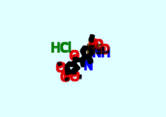 CCOc1ccc2c(C(=O)c3cc(OC)c(OC)c(OC)c3)cncc2c1N[SH](=O)=O.Cl